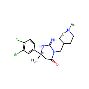 CC(=O)N1CCC(CN2C(=N)N[C@@](C)(c3ccc(F)c(Br)c3)CC2=O)CC1